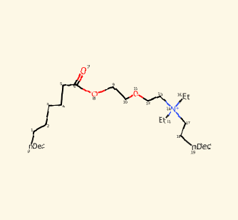 CCCCCCCCCCCCCCCC(=O)OCCOCC[N+](CC)(CC)CCCCCCCCCCCC